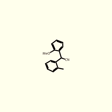 COc1ccccc1C(C#N)c1ccccc1C